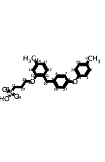 Cc1ccc(Oc2ccc(Cc3ccc(C)cc3OCCCS(=O)(=O)O)cc2)cc1